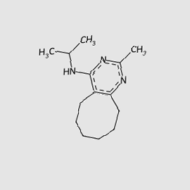 Cc1nc2c(c(NC(C)C)n1)CCCCCC2